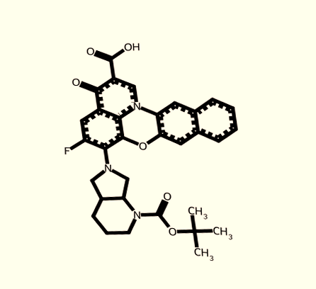 CC(C)(C)OC(=O)N1CCCC2CN(c3c(F)cc4c(=O)c(C(=O)O)cn5c4c3Oc3cc4ccccc4cc3-5)CC21